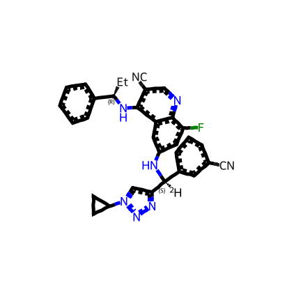 [2H][C@](Nc1cc(F)c2ncc(C#N)c(N[C@H](CC)c3ccccc3)c2c1)(c1cccc(C#N)c1)c1cn(C2CC2)nn1